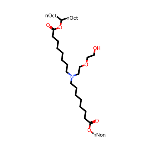 CCCCCCCCCOC(=O)CCCCCCCN(CCCCCCCC(=O)OC(CCCCCCCC)CCCCCCCC)CCOCCO